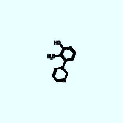 Cc1c(O)cccc1N1C=CC=NC1